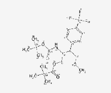 COCC(c1ccc(C(F)(F)F)cc1)C(COC(=O)C(C)(C)C)NC(=O)OC(C)(C)C